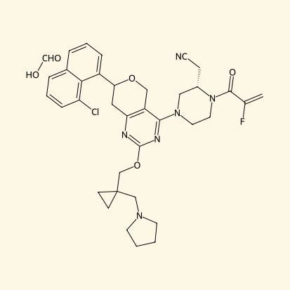 C=C(F)C(=O)N1CCN(c2nc(OCC3(CN4CCCC4)CC3)nc3c2COC(c2cccc4cccc(Cl)c24)C3)C[C@@H]1CC#N.O=CO